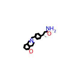 COc1cccc2c1CCN(Cc1ccc([C@@H](C)CC(N)=O)cc1)C2